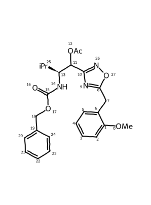 COc1ccccc1Cc1nc(C(OC(C)=O)[C@@H](NC(=O)OCc2ccccc2)C(C)C)no1